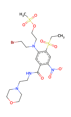 CCS(=O)(=O)c1cc([N+](=O)[O-])c(C(=O)NCCN2CCOCC2)cc1N(CCBr)CCOS(C)(=O)=O